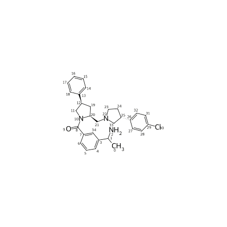 CC(N)c1cccc(C(=O)N2C[C@@H](c3ccccc3)C[C@H]2CN2CC[C@H](c3ccc(Cl)cc3)C2)c1